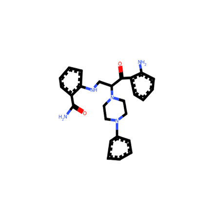 NC(=O)c1ccccc1NCC(C(=O)c1ccccc1N)N1CCN(c2ccccc2)CC1